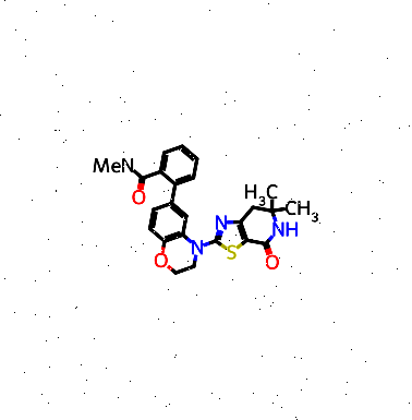 CNC(=O)c1ccccc1-c1ccc2c(c1)N(c1nc3c(s1)C(=O)NC(C)(C)C3)CCO2